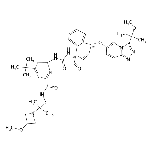 COC1CN(C(C)(C)CNC(=O)c2nc(NC(=O)N[C@@]3(C=O)C=C[C@@H](Oc4ccc5nnc(C(C)(C)OC)n5c4)c4ccccc43)cc(C(C)(C)C)n2)C1